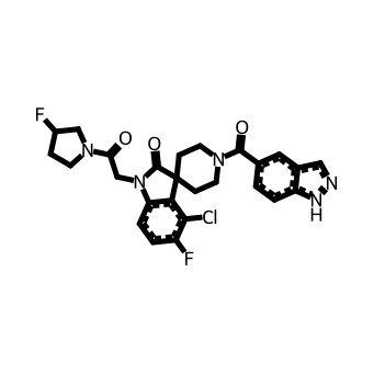 O=C(CN1C(=O)C2(CCN(C(=O)c3ccc4[nH]ncc4c3)CC2)c2c1ccc(F)c2Cl)N1CCC(F)C1